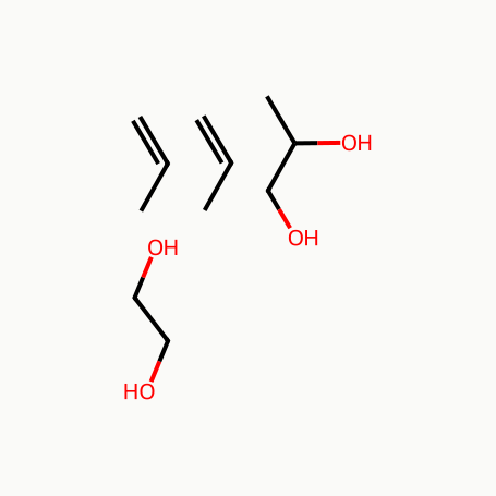 C=CC.C=CC.CC(O)CO.OCCO